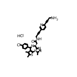 Cc1sc2c(c1C)C(c1ccc(Cl)cc1)=N[C@@H](CC(=O)NCC#Cc1ccc(C#CCN)nc1)c1nnc(C)n1-2.Cl